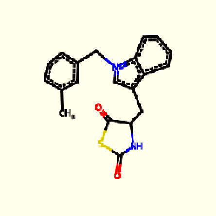 Cc1cccc(Cn2cc(CC3NC(=O)SC3=O)c3ccccc32)c1